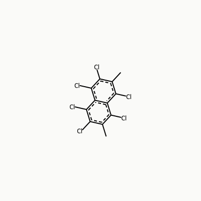 Cc1c(Cl)c(Cl)c2c(Cl)c(Cl)c(C)c(Cl)c2c1Cl